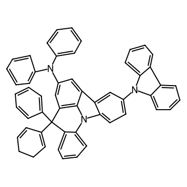 C1=CC(C2(c3ccccc3)c3ccccc3-n3c4ccc(-n5c6ccccc6c6ccccc65)cc4c4cc(N(c5ccccc5)c5ccccc5)cc2c43)=CCC1